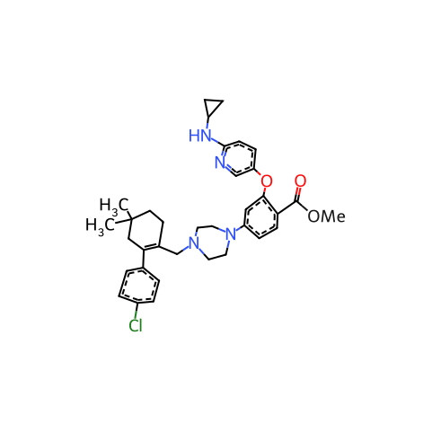 COC(=O)c1ccc(N2CCN(CC3=C(c4ccc(Cl)cc4)CC(C)(C)CC3)CC2)cc1Oc1ccc(NC2CC2)nc1